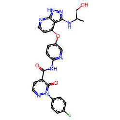 CC(CO)Nc1n[nH]c2nccc(Oc3ccc(NC(=O)c4ccnn(-c5ccc(F)cc5)c4=O)nc3)c12